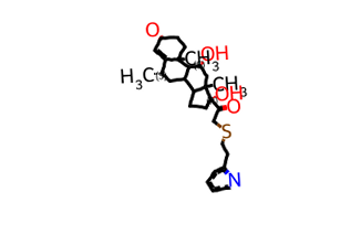 C[C@H]1CC2C([C@@H](O)CC3(C)C2CC[C@]3(O)C(=O)CSCCc2ccccn2)C2(C)CCC(=O)C=C12